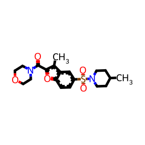 Cc1c(C(=O)N2CCOCC2)oc2ccc(S(=O)(=O)N3CCC(C)CC3)cc12